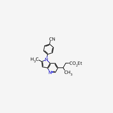 CCOC(=O)CC(C)c1cnc2cc(C)n(-c3ccc(C#N)cc3)c2c1